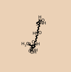 COCc1cc(NC(=O)CCCCCNC(=O)CCCCC2SCC3NC(=O)NC32)ccc1OP(=O)(O)O